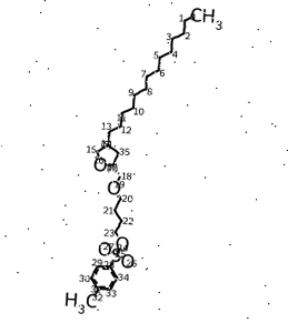 CCCCCCCCCCCCCC[C@@H]1CO[C@@H](COCCCCOS(=O)(=O)c2ccc(C)cc2)C1